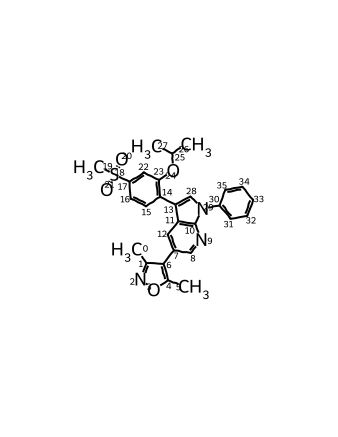 Cc1noc(C)c1-c1cnc2c(c1)c(-c1ccc(S(C)(=O)=O)cc1OC(C)C)cn2-c1ccccc1